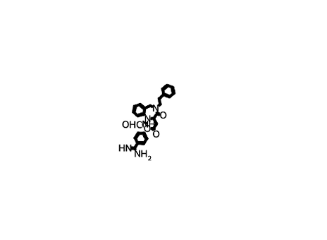 N=C(N)c1ccc(OC(=O)CC2C(=O)N(CCc3ccccc3)Cc3ccccc3N2NC=O)cc1